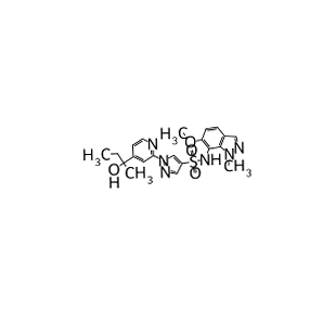 CCC(C)(O)c1ccnc(-n2cc(S(=O)(=O)Nc3c(OC)ccc4cnn(C)c34)cn2)c1